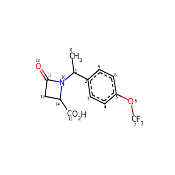 CC(c1ccc(OC(F)(F)F)cc1)N1C(=O)CC1C(=O)O